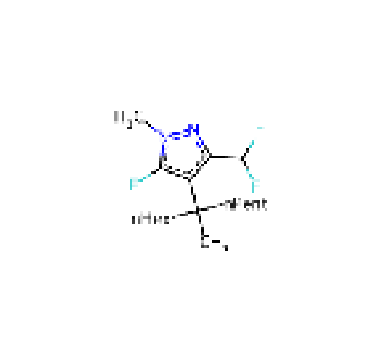 CCCCCCC(C)(CCCCC)c1c(C(F)F)nn(C)c1F